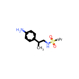 CCCS(=O)(=O)NCC(C)c1ccc(N)cc1